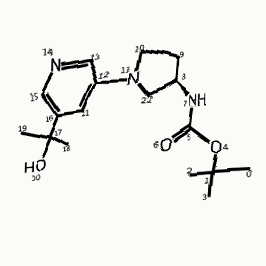 CC(C)(C)OC(=O)N[C@@H]1CCN(c2cncc(C(C)(C)O)c2)C1